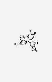 [CH2][CH][C@H]1CN(c2c3ncc(F)c(F)cc-3c3c2C=C(C)SN3)CCN1C